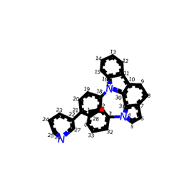 c1ccc(-n2ccc3ccc4c5ccccc5n(-c5ccc(-c6cccnc6)cc5)c4c32)cc1